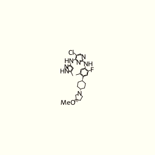 CO[C@H]1CCN([C@H]2CC[C@H](c3cc(F)c(Nc4ncc(Cl)c(Nc5cc(C)[nH]n5)n4)cc3C)CC2)C1